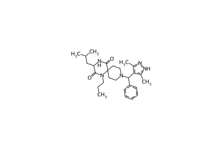 CCCN1C(=O)C(CC(C)C)NC(=O)C12CCN(C(c1ccccc1)c1c(C)n[nH]c1C)CC2